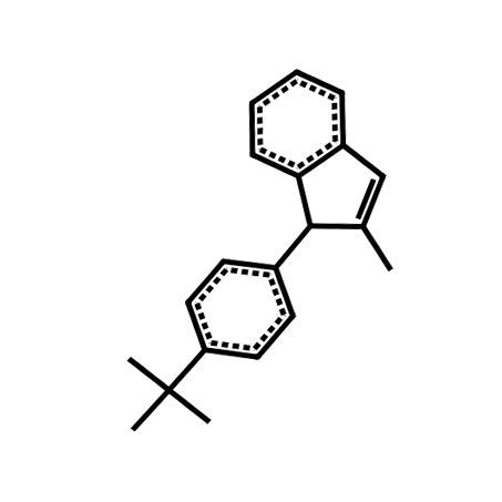 CC1=Cc2ccccc2C1c1ccc(C(C)(C)C)cc1